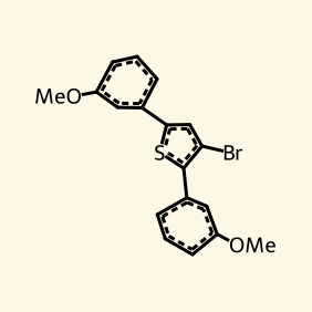 COc1cccc(-c2cc(Br)c(-c3cccc(OC)c3)s2)c1